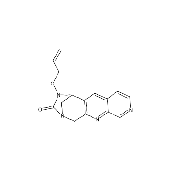 C=CCON1C(=O)N2Cc3nc4cnccc4cc3C1C2